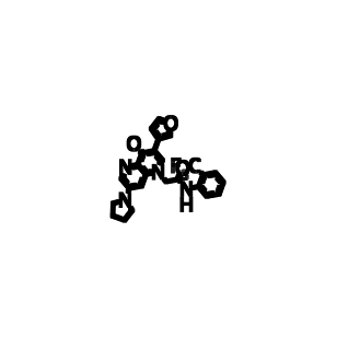 O=C(Cn1cc(-c2ccoc2)c(=O)c2ncc(N3CCCC3)cc21)Nc1ccccc1C(F)(F)F